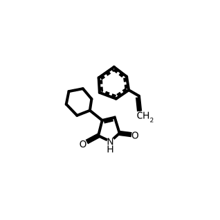 C=Cc1ccccc1.O=C1C=C(C2CCCCC2)C(=O)N1